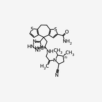 C=C(CN[C@H](C)CC1(c2nn[nH]n2)c2ccsc2CCc2sc(C(N)=O)cc21)N1C(C#N)C[C@H](C)C1C